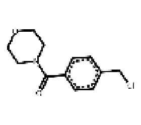 O=C(c1ccc(CCl)cc1)N1CCOCC1